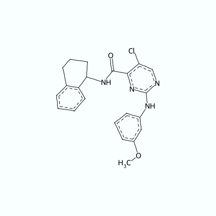 COc1cccc(Nc2ncc(Cl)c(C(=O)NC3CCCc4ccccc43)n2)c1